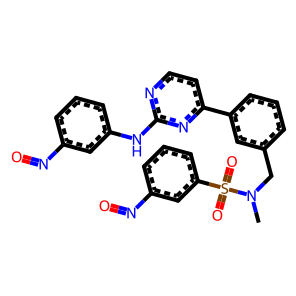 CN(Cc1cccc(-c2ccnc(Nc3cccc(N=O)c3)n2)c1)S(=O)(=O)c1cccc(N=O)c1